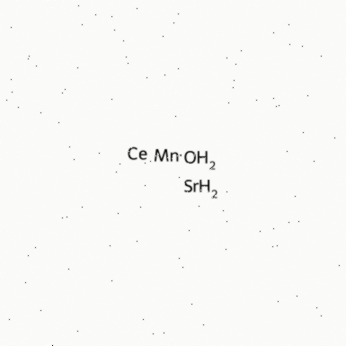 O.[Ce].[Mn].[SrH2]